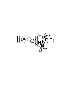 CN(C)C1CCc2cc(Nc3ncc4c(=O)n(C5CC5)n(-c5cccc(N=S(C)(C)=O)n5)c4n3)ccc2C1